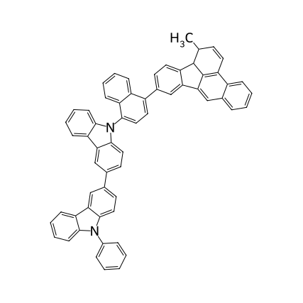 CC1C=Cc2c3c(cc4ccccc24)-c2cc(-c4ccc(-n5c6ccccc6c6cc(-c7ccc8c(c7)c7ccccc7n8-c7ccccc7)ccc65)c5ccccc45)ccc2C31